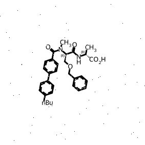 CCCCc1ccc(-c2ccc(C(=O)N(C)[C@H](COCc3ccccc3)C(=O)N[C@H](C)C(=O)O)cc2)cc1